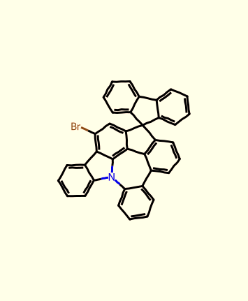 Brc1cc2c3c4c1c1ccccc1n4-c1ccccc1-c1cccc(c1-3)C21c2ccccc2-c2ccccc21